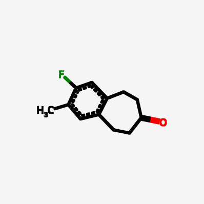 Cc1cc2c(cc1F)CCC(=O)CC2